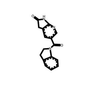 O=C1Cc2cc(C(=O)N3CCc4ccccc43)cnc2N1